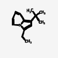 CCc1cc(C(C)(C)C)c2ccccn12